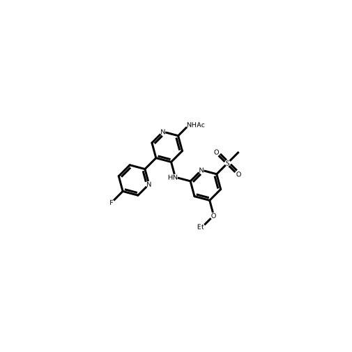 CCOc1cc(Nc2cc(NC(C)=O)ncc2-c2ccc(F)cn2)nc(S(C)(=O)=O)c1